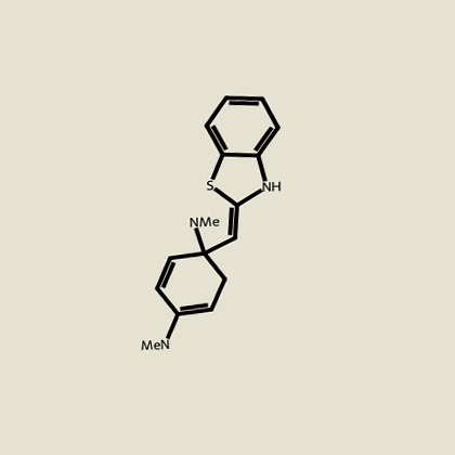 CNC1=CCC(C=C2Nc3ccccc3S2)(NC)C=C1